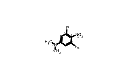 CN(C)c1cc(F)c([N+](=O)[O-])c(F)c1